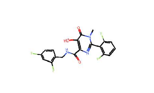 Cn1c(-c2c(F)cccc2F)nc(C(=O)NCc2ccc(F)cc2F)c(O)c1=O